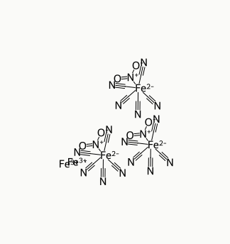 N#[C][Fe-2]([C]#N)([C]#N)([C]#N)([C]#N)[N+](=O)[O-].N#[C][Fe-2]([C]#N)([C]#N)([C]#N)([C]#N)[N+](=O)[O-].N#[C][Fe-2]([C]#N)([C]#N)([C]#N)([C]#N)[N+](=O)[O-].[Fe+3].[Fe+3]